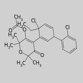 CCC1(Cl)C=CC(c2ccccc2Cl)C=C1C1=C(OC(C)=O)C(C)(C)OC(C)(C)C1=O